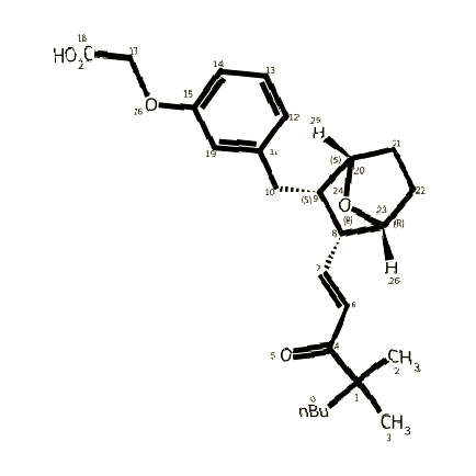 CCCCC(C)(C)C(=O)C=C[C@@H]1[C@H](Cc2cccc(OCC(=O)O)c2)[C@@H]2CC[C@H]1O2